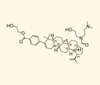 C=C(C)[C@@H]1CC[C@]2(C(=O)N(CCO)CCN(C)C)CC[C@]3(C)[C@H](CC[C@@H]4[C@@]5(C)CC=C(c6ccc(C(=O)OCCO)cc6)C(C)(C)[C@@H]5CC[C@]43C)[C@@H]12